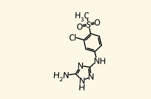 CS(=O)(=O)c1ccc(Nc2n[nH]c(N)n2)cc1Cl